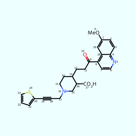 COc1ccc2nccc(C(=O)CCC3CCN(CC#Cc4cccs4)CC3C(=O)O)c2c1